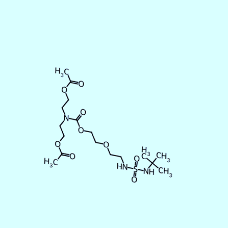 CC(=O)OCCN(CCOC(C)=O)C(=O)OCCOCCNS(=O)(=O)NC(C)(C)C